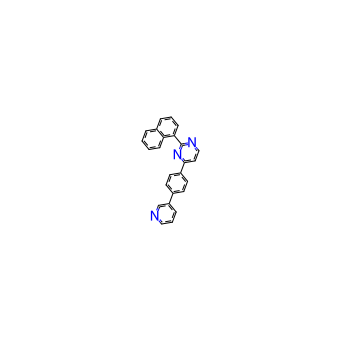 c1cncc(-c2ccc(-c3ccnc(-c4cccc5ccccc45)n3)cc2)c1